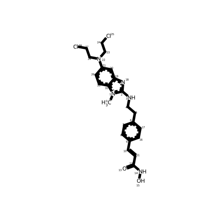 Cn1c(NCCc2ccc(/C=C/C(=O)NO)cc2)nc2cc(N(CCCl)CCCl)ccc21